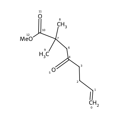 C=CCCC(=O)CC(C)(C)C(=O)OC